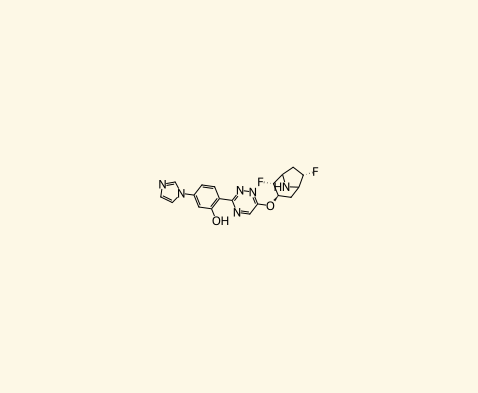 Oc1cc(-n2ccnc2)ccc1-c1ncc(O[C@@H]2CC3NC(C[C@@H]3F)[C@H]2F)nn1